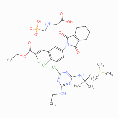 CCNc1nc(Cl)nc(NC(C)(C)C)n1.CCOC(=O)/C(Cl)=C/c1cc(N2C(=O)C3=C(CCCC3)C2=O)ccc1Cl.C[S+](C)C.O=C(O)CNCP(=O)([O-])O